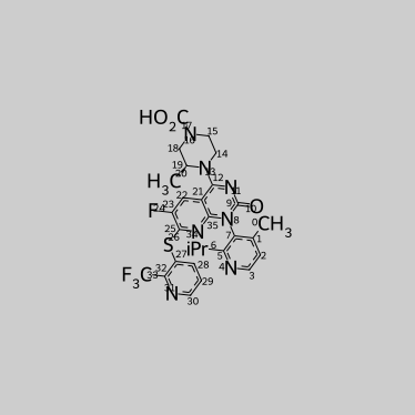 Cc1ccnc(C(C)C)c1-n1c(=O)nc(N2CCN(C(=O)O)C[C@@H]2C)c2cc(F)c(Sc3cccnc3C(F)(F)F)nc21